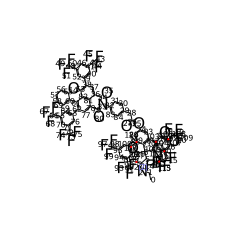 CC/N=C(/C)CC(c1c(-c2cc(C(F)(F)F)cc(C(F)(F)F)c2)cc(OC(=O)Cc2ccc(-n3c(=O)c4cc(-c5cc(C(F)(F)F)cc(C(F)(F)F)c5)c5oc6ccccc6c6c(-c7cc(C(F)(F)F)cc(C(F)(F)F)c7)cc(c3=O)c4c56)cc2)cc1-c1cc(C(F)(F)F)cc(C(F)(F)F)c1)(c1c(C)c(C(=O)OCC)c(C)n1B(F)F)[C@@H](C)OCC